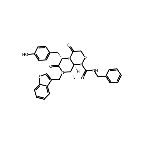 C[C@H]1[C@@H]2N(C(=O)NCc3ccccc3)OCC(=O)N2[C@@H](Cc2ccc(O)cc2)C(=O)N1Cc1csc2ccccc12